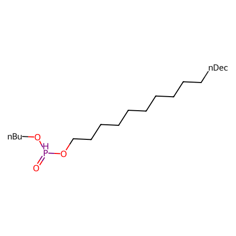 CCCCCCCCCCCCCCCCCCCCO[PH](=O)OCCCC